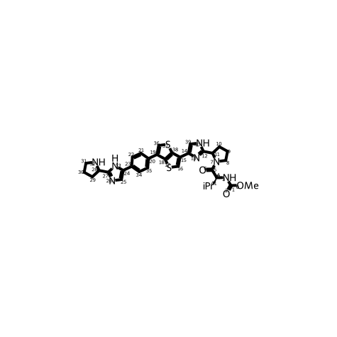 COC(=O)N[C@H](C(=O)N1CCCC1c1nc(-c2csc3c(-c4ccc(-c5cnc(C6CCCN6)[nH]5)cc4)csc23)c[nH]1)C(C)C